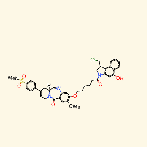 CNS(=O)(=O)c1ccc(C2=CCN3C(=O)c4cc(OC)c(OCCCCCC(=O)N5C[C@@H](CCl)c6c5cc(O)c5ccccc65)cc4N=C[C@@H]3C2)cc1